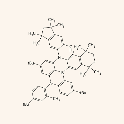 Cc1cc(C(C)(C)C)ccc1N1c2ccc(C(C)(C)C)cc2B2c3cc4c(cc3N(c3cc5c(cc3C)C(C)(C)CC5(C)C)c3cc(C(C)(C)C)cc1c32)C(C)(C)CCC4(C)C